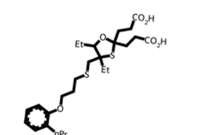 CCCc1ccccc1OCCCSCC1(CC)SC(CCC(=O)O)(CCC(=O)O)OC1CC